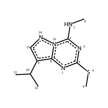 CNc1nc(SC)nc2c(C(C)C)cnn12